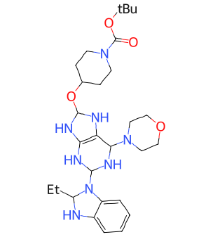 CCC1Nc2ccccc2N1C1NC2=C(NC(OC3CCN(C(=O)OC(C)(C)C)CC3)N2)C(N2CCOCC2)N1